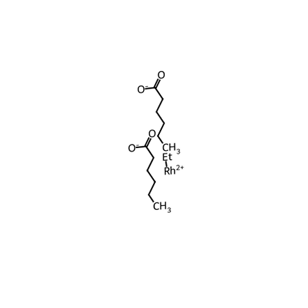 CCCCCC(=O)[O-].CCCCCC(=O)[O-].C[CH2][Rh+2]